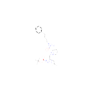 CC(C)CC(CN1CCC[C@H]1C(=O)NCCCCc1ccccc1)NC(=O)OC(C)(C)C